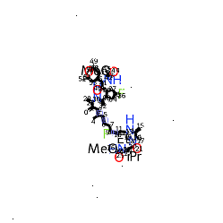 C=C(/C=C(C)/C=C/C/C(F)=C\CCNC(=C)[C@H](C)N(CC)C(=O)[C@@H](NC(=O)OC)C(C)C)C(=C)NC(=C)[C@@H]1C[C@@H](F)CC1C(=O)C(NC(=O)OC)C1C[C@@H](C)O[C@@H](C)C1